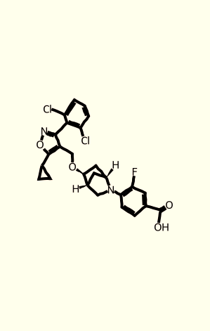 O=C(O)c1ccc(N2C[C@H]3C[C@@H]2C[C@@H]3OCc2c(-c3c(Cl)cccc3Cl)noc2C2CC2)c(F)c1